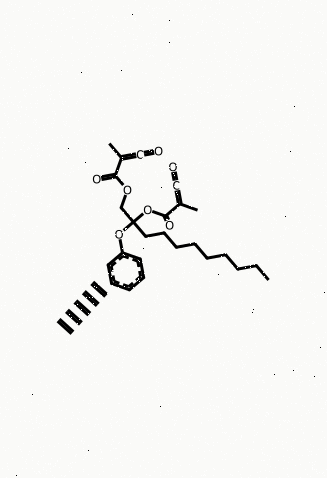 C=C.C=C.C=C.C=C.C=C.CCCCCCCCCC(COC(=O)C(C)=C=O)(OC(=O)C(C)=C=O)Oc1ccccc1